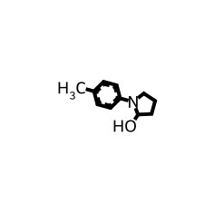 Cc1ccc(N2CCCC2O)cc1